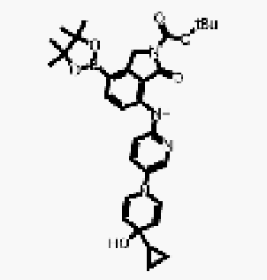 CC(C)(C)OC(=O)N1Cc2c(B3OC(C)(C)C(C)(C)O3)ccc(Nc3ccc(N4C=CC(O)(C5CC5)C=C4)cn3)c2C1=O